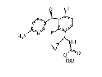 CC(C)(C)OC(=O)NC(c1ccc(Cl)c(C(=O)c2ccc(N)nc2)c1F)C1CC1